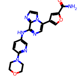 NC(=O)c1cc(-c2cnc(Nc3ccc(N4CCOCC4)nc3)c3nccn23)co1